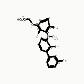 CN(c1cccc(-c2cccc(F)c2)c1F)c1c(F)ccc(OCC(=O)O)c1F